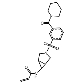 C=CC(=O)NC1C2CN(S(=O)(=O)c3cccc(C(=O)N4CCCCC4)c3)CC21